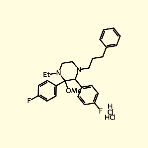 CCN1CCN(CCCc2ccccc2)C(c2ccc(F)cc2)C1(OC)c1ccc(F)cc1.Cl.Cl